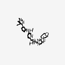 Cc1cncnc1-c1cccc(Nc2ccc(/C=N/Nc3ncc(F)c(N4CCOCC4)n3)nc2)c1